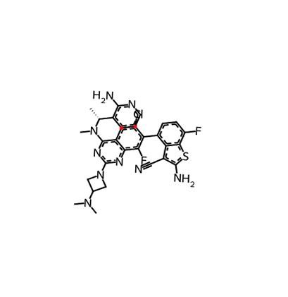 C[C@H](c1cccnc1N)N(C)c1nc(N2CC(N(C)C)C2)nc2c(F)c(-c3ccc(F)c4sc(N)c(C#N)c34)c(Cl)cc12